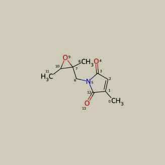 CC1=CC(=O)N(CC2(C)OC2C)C1=O